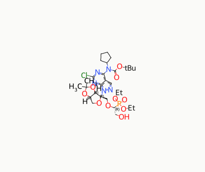 CCOP(=O)(OCC)[C@H](CO)OC[C@@]1(n2ncc3c(N(C(=O)OC(C)(C)C)C4CCCC4)nc(Cl)nc32)OC[C@H]2OC(C)(C)O[C@H]21